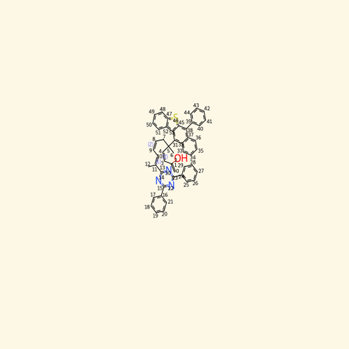 C=C(O)/C=C\C(C)(C/C=C\C=C(/C)c1nc(-c2ccccc2)nc(-c2ccccc2)n1)c1c2ccccc2c(-c2ccccc2)c2sc3ccccc3c12